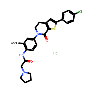 COc1cc(N2CCc3cc(-c4ccc(Cl)cc4)sc3C2=O)ccc1NC(=O)CN1CCCC1.Cl